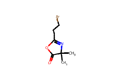 CC1(C)N=C(CCBr)OC1=O